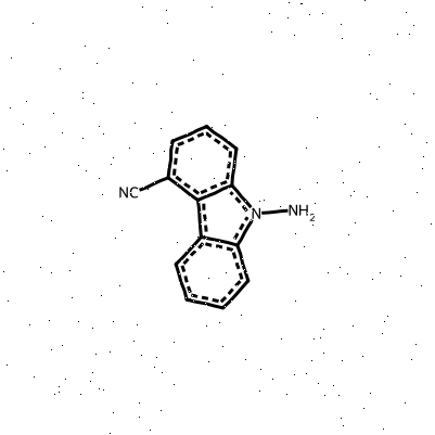 N#Cc1cccc2c1c1ccccc1n2N